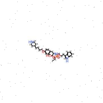 CCOP(=O)(NC(Cc1ccc(OCCCCC2CCNCC2)cc1)C(=O)O)OCCc1c[nH]c2ccccc12